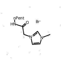 CCCCCNC(=O)C[n+]1ccn(C)c1.[Br-]